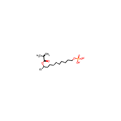 C=C(C)C(=O)OC(CC)CCCCCCCCCOP(=O)(O)O